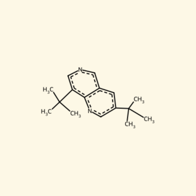 CC(C)(C)c1cnc2c(C(C)(C)C)cncc2c1